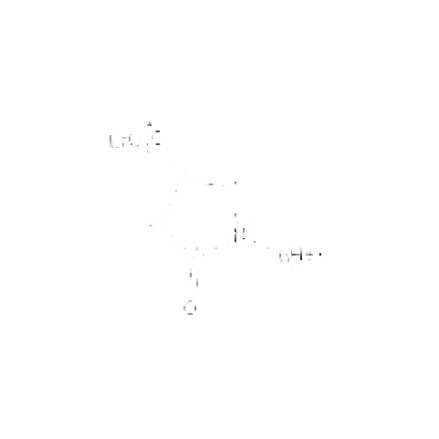 CCCCCCN1CC(C(=O)OCC)CC1=O